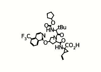 C=CC1CC1(NC(=O)C1CC(Oc2nccc3c(C(F)(F)F)cccc23)CN1C(=O)C(NC(=O)OC1CCCC1)C(C)(C)C)C(=O)O